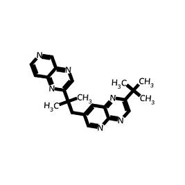 CC(C)(C)c1cnc2ncc(CC(C)(C)c3cnc4cnccc4n3)cc2n1